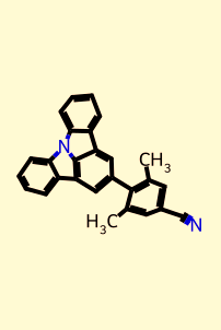 Cc1cc(C#N)cc(C)c1-c1cc2c3ccccc3n3c4ccccc4c(c1)c23